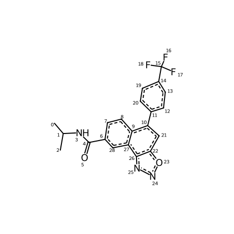 CC(C)NC(=O)c1ccc2c(-c3ccc(C(F)(F)F)cc3)cc3onnc3c2c1